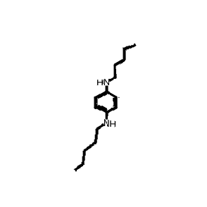 CCCCCNc1[c]cc(NCCCCC)cc1